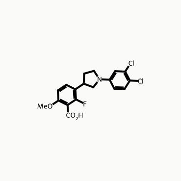 COc1ccc(C2CCN(c3ccc(Cl)c(Cl)c3)C2)c(F)c1C(=O)O